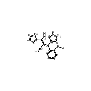 CSc1ccccc1C1C(C#N)=C(c2cccs2)Nc2n[nH]cc21